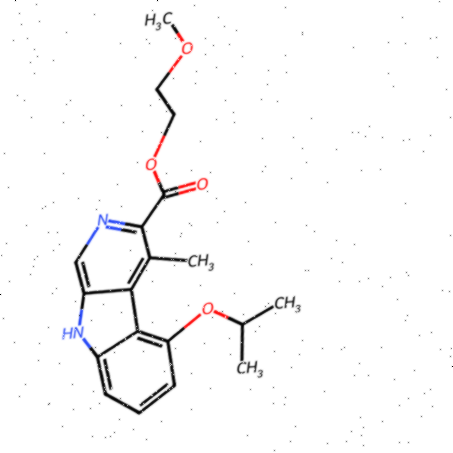 COCCOC(=O)c1ncc2[nH]c3cccc(OC(C)C)c3c2c1C